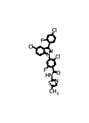 Cc1cnc(NC(=O)c2cc(Cl)c(-n3nc(-c4ccc(Cl)cc4F)c4cc(Cl)ccc43)cc2F)s1